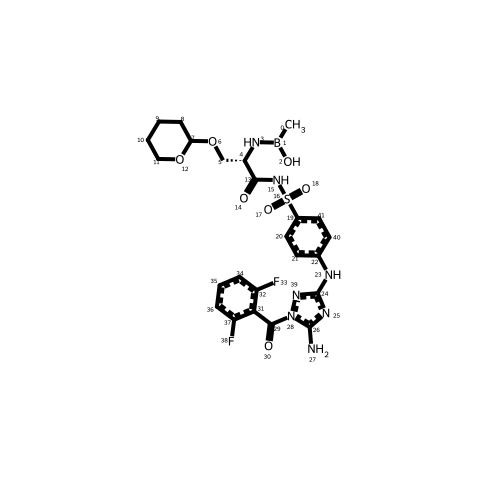 CB(O)N[C@@H](COC1CCCCO1)C(=O)NS(=O)(=O)c1ccc(Nc2nc(N)n(C(=O)c3c(F)cccc3F)n2)cc1